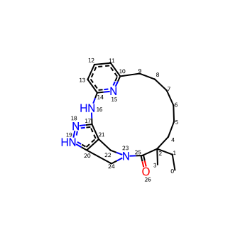 CCC1(C)CCCCCCc2cccc(n2)Nc2n[nH]c3c2CN(C3)C1=O